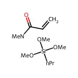 C=CC(=O)NC.CCC[Si](OC)(OC)OC